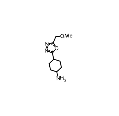 COCc1nnc(C2CCC(N)CC2)o1